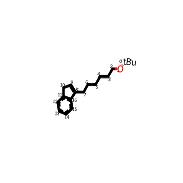 CC(C)(C)OCCCCCCC1=CCc2ccccc21